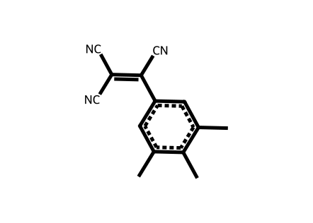 Cc1cc(C(C#N)=C(C#N)C#N)cc(C)c1C